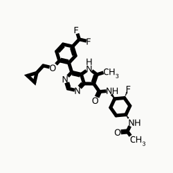 CC(=O)N[C@@H]1CC[C@@H](NC(=O)c2c(C)[nH]c3c(-c4cc(C(F)F)ccc4OCC4CC4)ncnc23)[C@H](F)C1